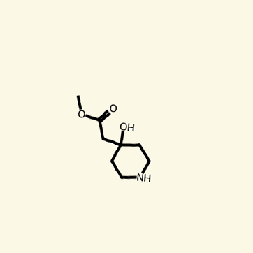 COC(=O)CC1(O)CCNCC1